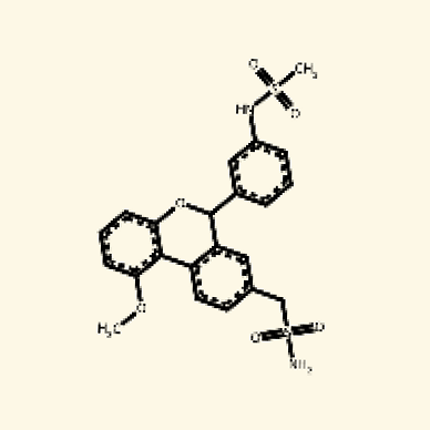 COc1cccc2c1-c1ccc(CS(N)(=O)=O)cc1C(c1cccc(NS(C)(=O)=O)c1)O2